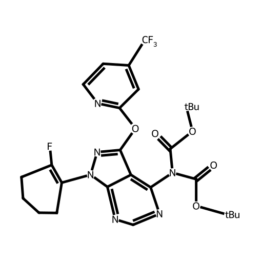 CC(C)(C)OC(=O)N(C(=O)OC(C)(C)C)c1ncnc2c1c(Oc1cc(C(F)(F)F)ccn1)nn2C1=C(F)CCCC1